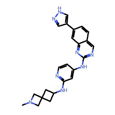 CN1CC2(CC(Nc3cc(Nc4ncc5ccc(-c6cn[nH]c6)cc5n4)ccn3)C2)C1